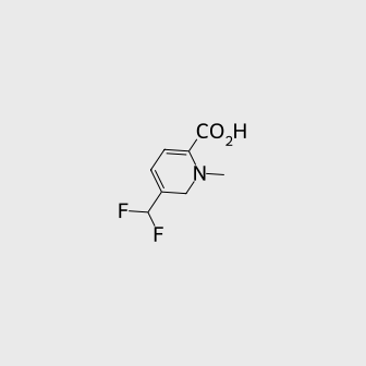 CN1CC(C(F)F)=CC=C1C(=O)O